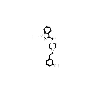 Cn1nc(C(=O)N2CCN(CCc3cccc(Cl)c3)CC2)c2ccccc21